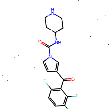 O=C(c1ccn(C(=O)NC2CCNCC2)c1)c1c(F)ccc(Cl)c1F